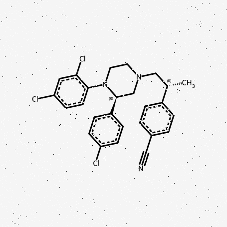 C[C@@H](CN1CCN(c2ccc(Cl)cc2Cl)[C@H](c2ccc(Cl)cc2)C1)c1ccc(C#N)cc1